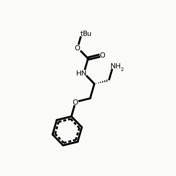 CC(C)(C)OC(=O)N[C@H](CN)COc1ccccc1